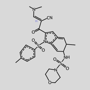 Cc1ccc(S(=O)(=O)n2c(C(=O)/C(C#N)=C/N(C)C)cc3c2=CC(NS(=O)(=O)N2CCOCC2)C(C)C=3)cc1